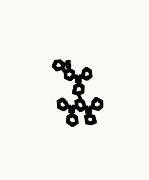 c1ccc(N(c2ccccc2)c2cc(-c3ccc(N(c4ccccc4)c4ccc5c(c4)sc4ccccc45)cc3)cc(N(c3ccccc3)c3ccccc3)c2)cc1